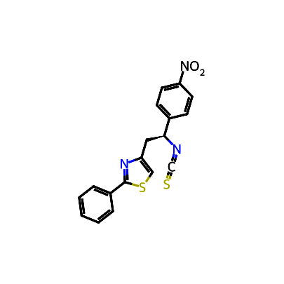 O=[N+]([O-])c1ccc([C@H](Cc2csc(-c3ccccc3)n2)N=C=S)cc1